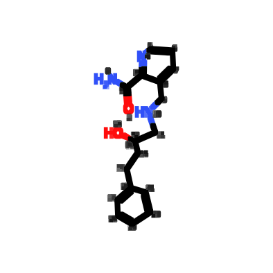 NC(=O)c1ncccc1CNC[C@H](O)[CH]Cc1ccccc1